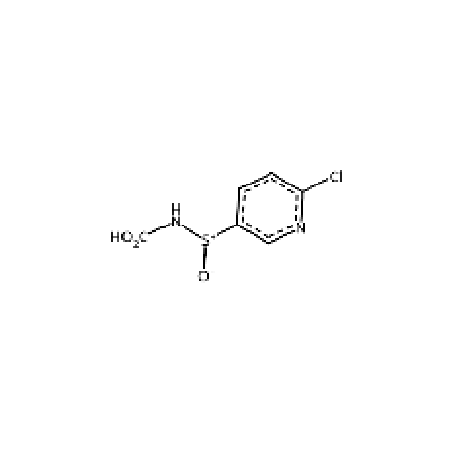 O=C(O)N[S+]([O-])c1ccc(Cl)nc1